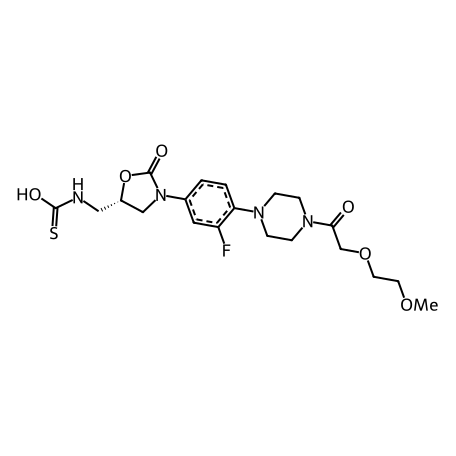 COCCOCC(=O)N1CCN(c2ccc(N3C[C@H](CNC(O)=S)OC3=O)cc2F)CC1